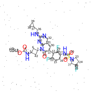 CC(C)(C)OC(=O)NC1CC(n2c(=O)c(-c3c(F)ccc(NS(=O)(=O)N4CC[C@@H](F)C4)c3F)cc3cnc(NCC4CC4)nc32)C1